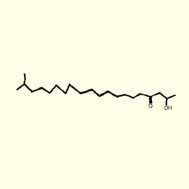 CC(O)[CH]C(=O)CCCCCCCCCCCCCCC(C)C